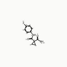 BC(=O)C1(C(=O)Nc2ccc(F)cc2)CC1